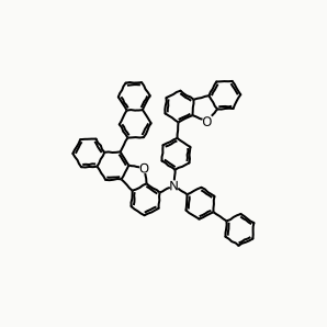 c1ccc(-c2ccc(N(c3ccc(-c4cccc5c4oc4ccccc45)cc3)c3cccc4c3oc3c(-c5ccc6ccccc6c5)c5ccccc5cc34)cc2)cc1